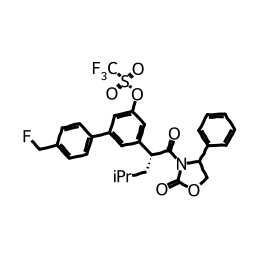 CC(C)C[C@@H](C(=O)N1C(=O)OCC1c1ccccc1)c1cc(OS(=O)(=O)C(F)(F)F)cc(-c2ccc(CF)cc2)c1